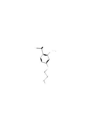 COc1cc(OCCCF)ccc1C(N)=O